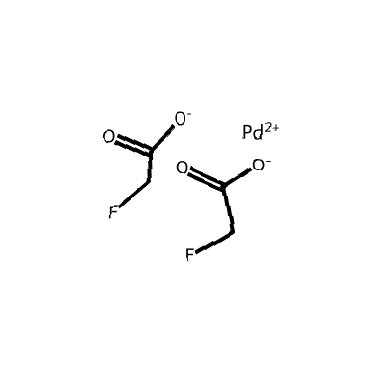 O=C([O-])CF.O=C([O-])CF.[Pd+2]